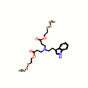 CCCCSSCCOC(=O)CCN(CCC(=O)OCCSSCCCC)CCc1c[nH]c2ccccc12